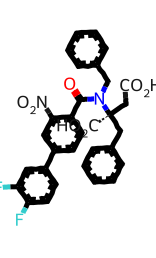 O=C(O)C[C@](Cc1ccccc1)(C(=O)O)N(Cc1ccccc1)C(=O)c1ccc(-c2ccc(F)c(F)c2)cc1[N+](=O)[O-]